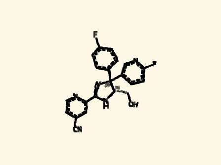 N#Cc1ccnc(C2=N[C@](c3ccc(F)cc3)(c3ccc(F)nc3)[C@H](CO)N2)c1